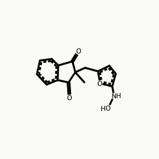 CC1(Cc2ccc(NO)o2)C(=O)c2ccccc2C1=O